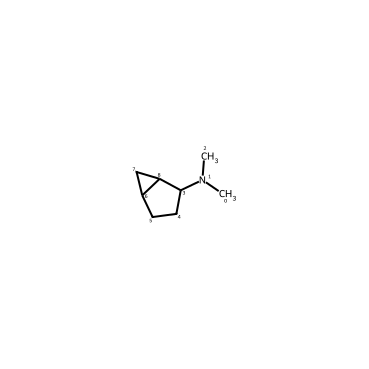 CN(C)C1CCC2CC21